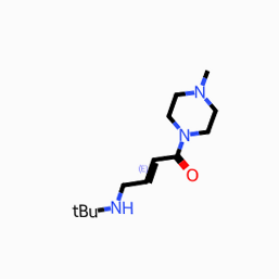 CN1CCN(C(=O)/C=C/CNC(C)(C)C)CC1